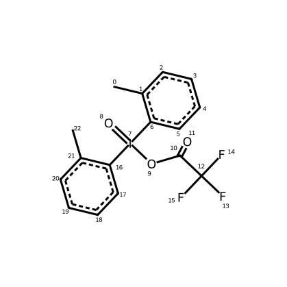 Cc1ccccc1I(=O)(OC(=O)C(F)(F)F)c1ccccc1C